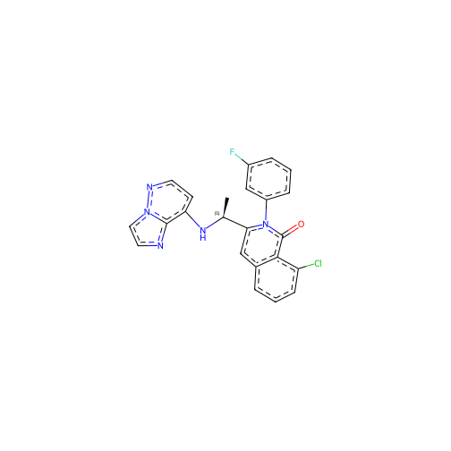 C[C@H](Nc1ccnn2ccnc12)c1cc2cccc(Cl)c2c(=O)n1-c1cccc(F)c1